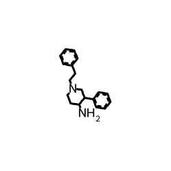 NC1CCN(CCc2ccccc2)CC1c1ccccc1